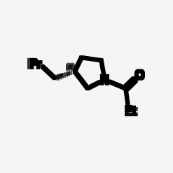 CCC(=O)N1CC[C@@H](CC(C)C)C1